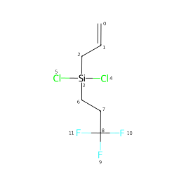 C=CC[Si](Cl)(Cl)CCC(F)(F)F